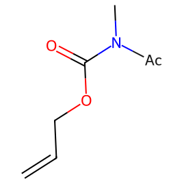 C=CCOC(=O)N(C)C(C)=O